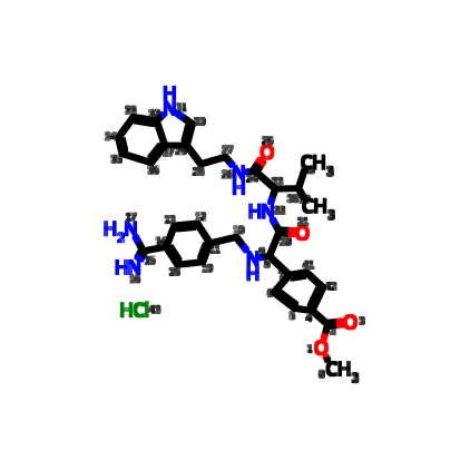 COC(=O)c1ccc(C(NCc2ccc(C(=N)N)cc2)C(=O)NC(C(=O)NCCc2c[nH]c3ccccc23)C(C)C)cc1.Cl